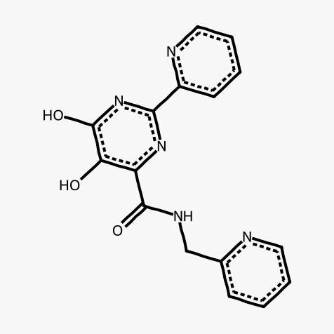 O=C(NCc1ccccn1)c1nc(-c2ccccn2)nc(O)c1O